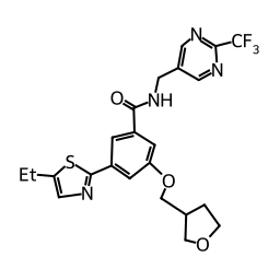 CCc1cnc(-c2cc(OCC3CCOC3)cc(C(=O)NCc3cnc(C(F)(F)F)nc3)c2)s1